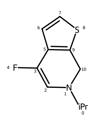 CC(C)N1C=C(F)c2ccsc2C1